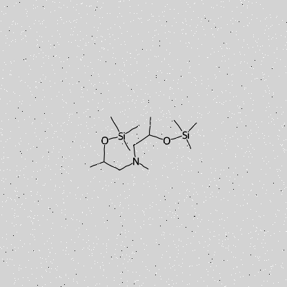 CC(CN(C)CC(C)O[Si](C)(C)C)O[Si](C)(C)C